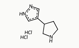 Cl.Cl.c1n[nH]cc1C1CCNC1